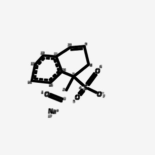 C=O.CC1(S(=O)(=O)[O-])CC=Cc2ccccc21.[Na+]